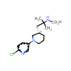 CC(C)(C[C@@H]1CCCN(c2ccc(Cl)nc2)C1)NC(=O)O